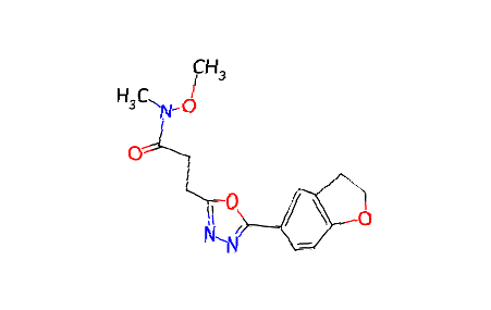 CON(C)C(=O)CCc1nnc(-c2ccc3c(c2)CCO3)o1